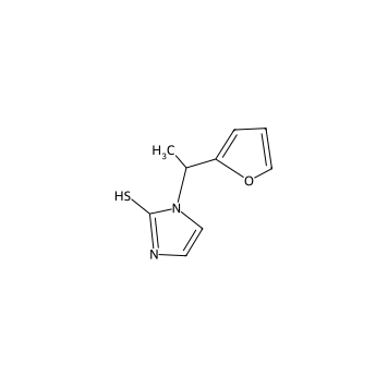 CC(c1ccco1)n1ccnc1S